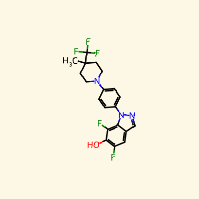 CC1(C(F)(F)F)CCN(c2ccc(-n3ncc4cc(F)c(O)c(F)c43)cc2)CC1